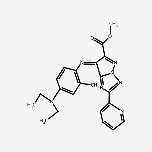 CCN(CC)c1ccc(/N=C2/C(C(=O)OC)=Nn3nc(-c4ccccn4)nc32)c(C)c1